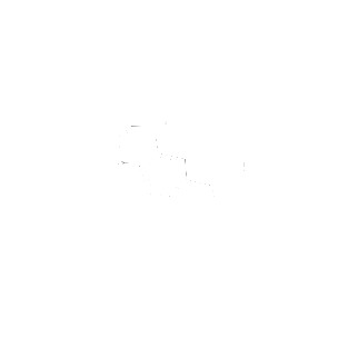 O=c1ccoc2cc(C(O)O)ccc12